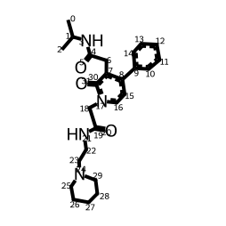 CC(C)NC(=O)Cc1c(-c2ccccc2)ccn(CC(=O)NCCN2CCCCC2)c1=O